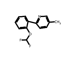 Cc1ccc(-c2ccccc2OC(F)F)nc1